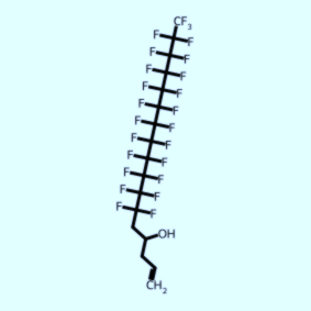 C=CCC(O)CC(F)(F)C(F)(F)C(F)(F)C(F)(F)C(F)(F)C(F)(F)C(F)(F)C(F)(F)C(F)(F)C(F)(F)C(F)(F)C(F)(F)F